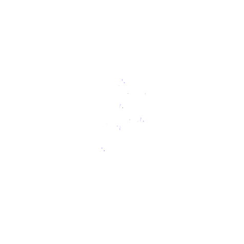 CN1CCN(c2nccc(N)n2)CC1